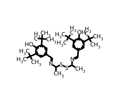 CC(N=Cc1cc(C(C)(C)C)c(O)c(C(C)(C)C)c1)SSC(C)N=Cc1cc(C(C)(C)C)c(O)c(C(C)(C)C)c1